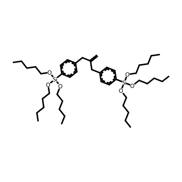 C=C(Cc1ccc([Si](OCCCCC)(OCCCCC)OCCCCC)cc1)Cc1ccc([Si](OCCCCC)(OCCCCC)OCCCCC)cc1